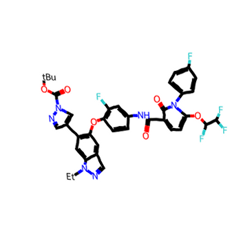 CCn1ncc2cc(Oc3ccc(NC(=O)c4ccc(OC(F)C(F)F)n(-c5ccc(F)cc5)c4=O)cc3F)c(-c3cnn(C(=O)OC(C)(C)C)c3)cc21